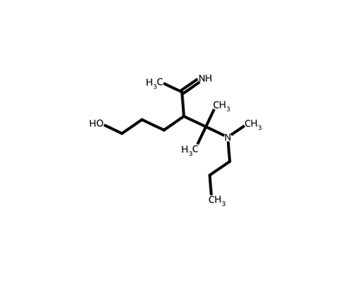 CCCN(C)C(C)(C)C(CCCO)C(C)=N